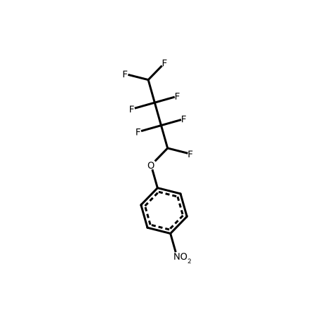 O=[N+]([O-])c1ccc(OC(F)C(F)(F)C(F)(F)C(F)F)cc1